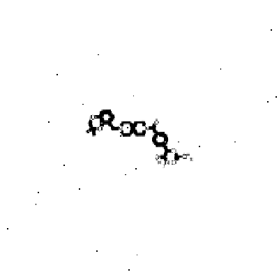 CC1(C)COc2cccc(CN3CCC4(CC3)CCN(C(=O)c3ccc(C(OC(=O)C(F)(F)F)C(N)=O)cc3)CC4)c2O1